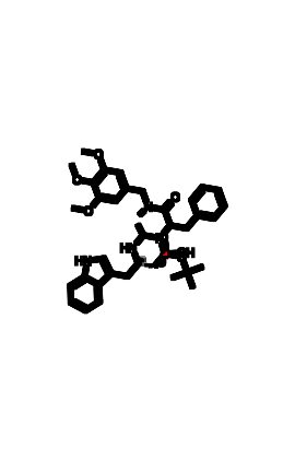 COc1cc(CN(C)C(=O)C(Cc2ccccc2)N(C(=O)OC(C)(C)C)C(C)N[C@H](CC(=O)O)Cc2c[nH]c3ccccc23)cc(OC)c1OC